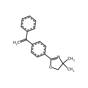 C=C(c1ccccc1)c1ccc(C2=NC(C)(C)CO2)cc1